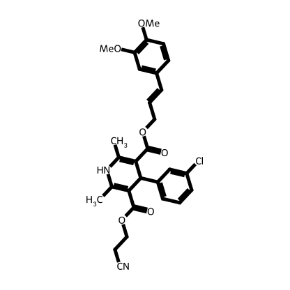 COc1ccc(C=CCOC(=O)C2=C(C)NC(C)=C(C(=O)OCCC#N)C2c2cccc(Cl)c2)cc1OC